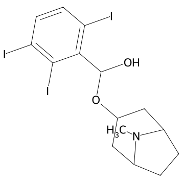 CN1C2CCC1CC(OC(O)c1c(I)ccc(I)c1I)C2